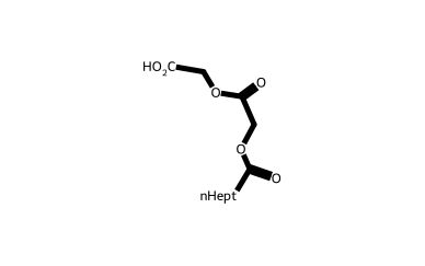 CCCCCCCC(=O)OCC(=O)OCC(=O)O